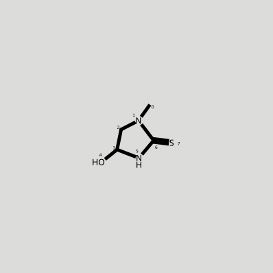 CN1CC(O)NC1=S